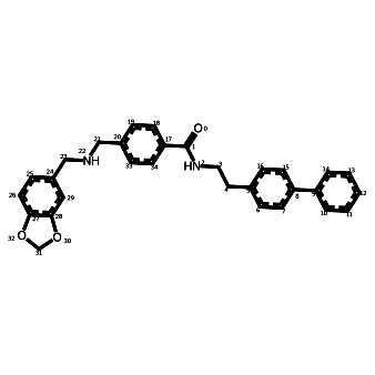 O=C(NCCc1ccc(-c2ccccc2)cc1)c1ccc(CNCc2ccc3c(c2)OCO3)cc1